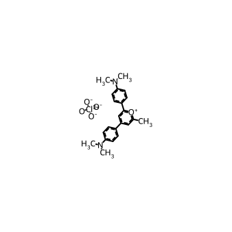 Cc1cc(-c2ccc(N(C)C)cc2)cc(-c2ccc(N(C)C)cc2)[o+]1.[O-][Cl+3]([O-])([O-])[O-]